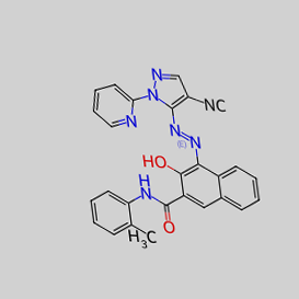 [C-]#[N+]c1cnn(-c2ccccn2)c1/N=N/c1c(O)c(C(=O)Nc2ccccc2C)cc2ccccc12